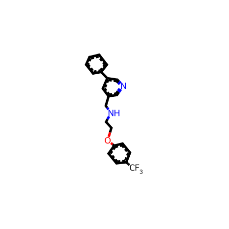 FC(F)(F)c1ccc(OCCNCc2cncc(-c3ccccc3)c2)cc1